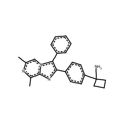 Cc1cn2c(-c3ccccc3)c(-c3ccc(C4(N)CCC4)cc3)nc2c(C)n1